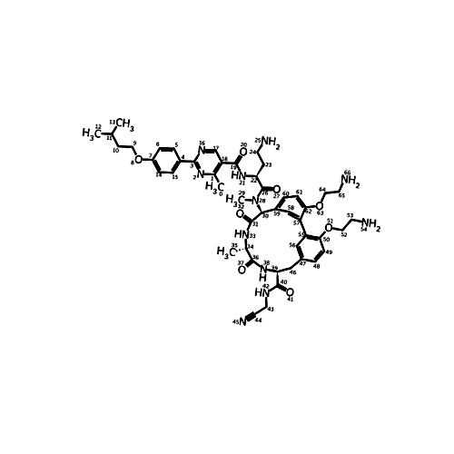 Cc1nc(-c2ccc(OCCC(C)C)cc2)ncc1C(=O)N[C@@H](CCN)C(=O)N(C)[C@@H]1C(=O)N[C@@H](C)C(=O)N[C@H](C(=O)NCC#N)Cc2ccc(OCCN)c(c2)-c2cc1ccc2OCCN